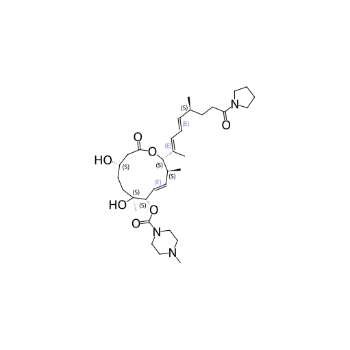 C/C(=C\C=C\[C@@H](C)CCC(=O)N1CCCC1)[C@H]1OC(=O)C[C@@H](O)CC[C@](C)(O)[C@@H](OC(=O)N2CCN(C)CC2)/C=C/[C@@H]1C